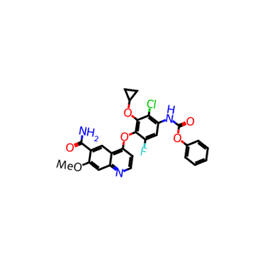 COc1cc2nccc(Oc3c(F)cc(NC(=O)Oc4ccccc4)c(Cl)c3OC3CC3)c2cc1C(N)=O